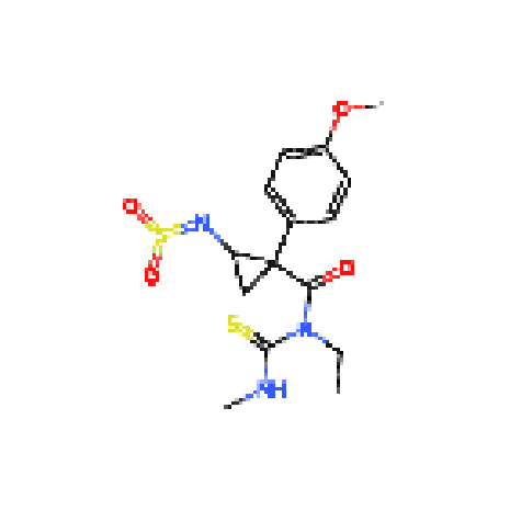 CCN(C(=O)C1(c2ccc(OC)cc2)CC1N=S(=O)=O)C(=S)NC